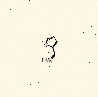 N=Cc1cccs1